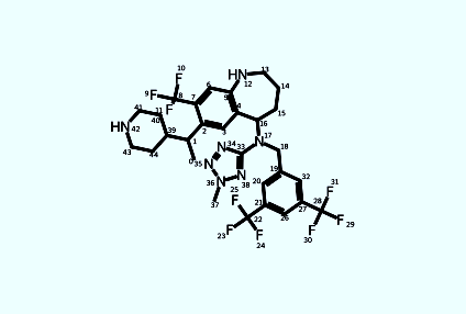 CC(c1cc2c(cc1C(F)(F)F)NCCCC2N(Cc1cc(C(F)(F)F)cc(C(F)(F)F)c1)c1nnn(C)n1)C1CCNCC1